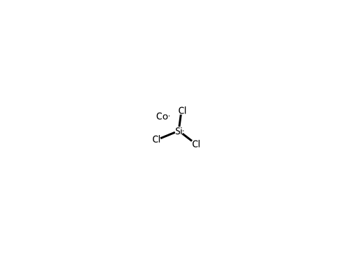 Cl[Si](Cl)Cl.[Co]